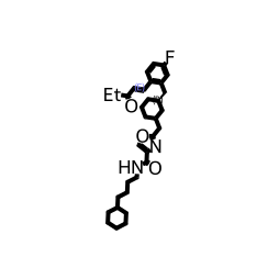 CCC(=O)/C=C/c1ccc(F)cc1C[C@@H]1CCCC(Cc2nc(C(=O)NCCCCC3CCCCC3)co2)C1